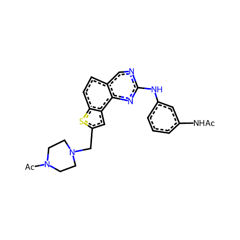 CC(=O)Nc1cccc(Nc2ncc3ccc4sc(CN5CCN(C(C)=O)CC5)cc4c3n2)c1